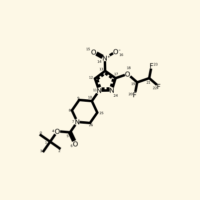 CC(C)(C)OC(=O)N1CCC(n2cc([N+](=O)[O-])c(OC(F)C(F)F)n2)CC1